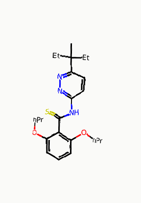 CCCOc1cccc(OCCC)c1C(=S)Nc1ccc(C(C)(CC)CC)nn1